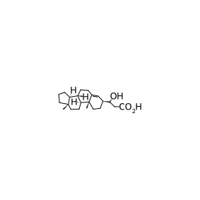 C[C@@]12CCC[C@H]1[C@@H]1CCC3=C[C@@H](C(O)CC(=O)O)CC[C@]3(C)[C@H]1CC2